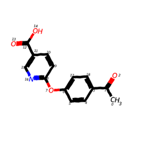 CC(=O)c1ccc(Oc2ccc(C(=O)O)cn2)cc1